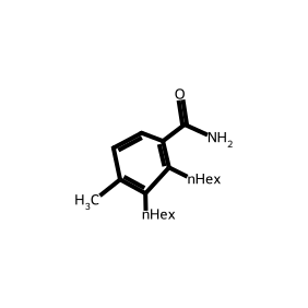 CCCCCCc1c(C)ccc(C(N)=O)c1CCCCCC